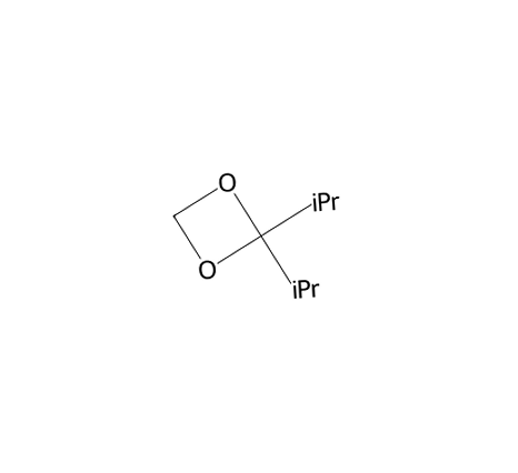 CC(C)C1(C(C)C)OCO1